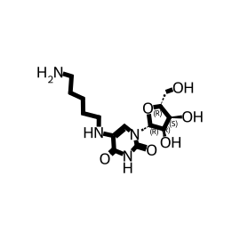 NCCCCCNc1cn([C@@H]2O[C@H](CO)[C@@H](O)[C@H]2O)c(=O)[nH]c1=O